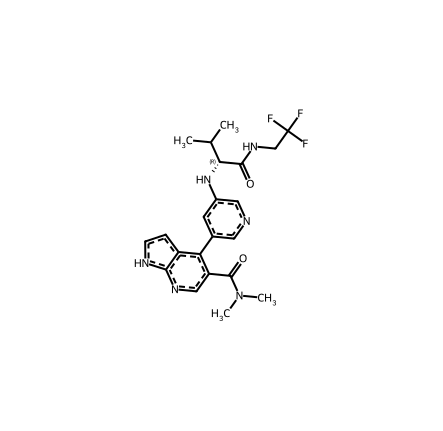 CC(C)[C@@H](Nc1cncc(-c2c(C(=O)N(C)C)cnc3[nH]ccc23)c1)C(=O)NCC(F)(F)F